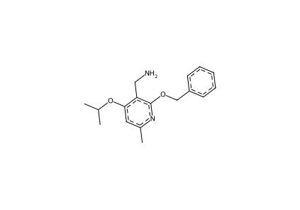 Cc1cc(OC(C)C)c(CN)c(OCc2ccccc2)n1